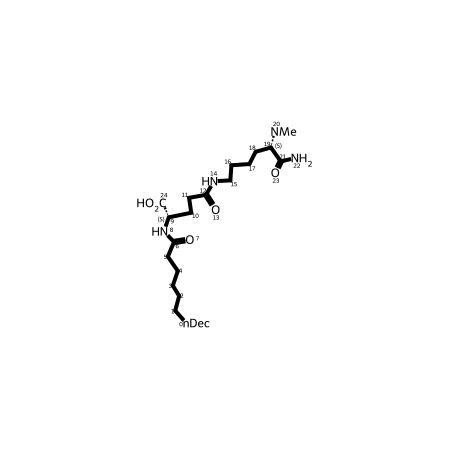 CCCCCCCCCCCCCCCC(=O)N[C@@H](CCC(=O)NCCCC[C@H](NC)C(N)=O)C(=O)O